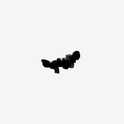 CN1CCCN(c2ccc(Nc3cc(-c4cccc(NC(=O)c5cc6c(s5)CCCCC6)c4F)cn(C)c3=O)nc2)CC1